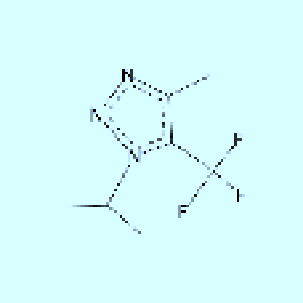 Cc1nnn(C(C)C)c1C(F)(F)F